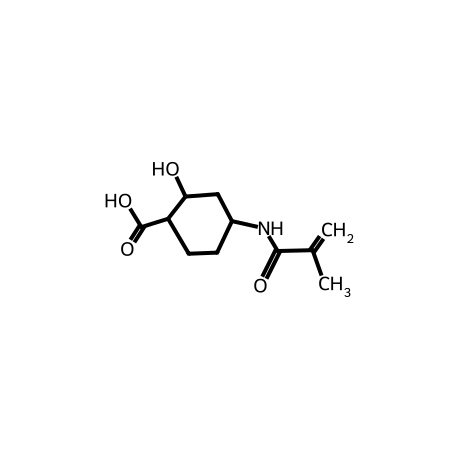 C=C(C)C(=O)NC1CCC(C(=O)O)C(O)C1